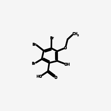 CCOc1c(O)c(C(=O)O)c(Br)c(Br)c1Br